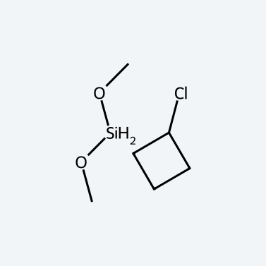 CO[SiH2]OC.ClC1CCC1